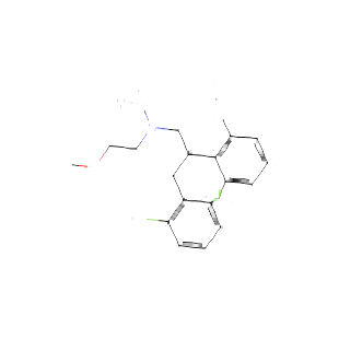 CCOCCN(CC(Cc1c(F)cccc1F)c1c(C)cccc1C)OC.Cl